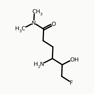 CN(C)C(=O)CCC(N)C(O)CF